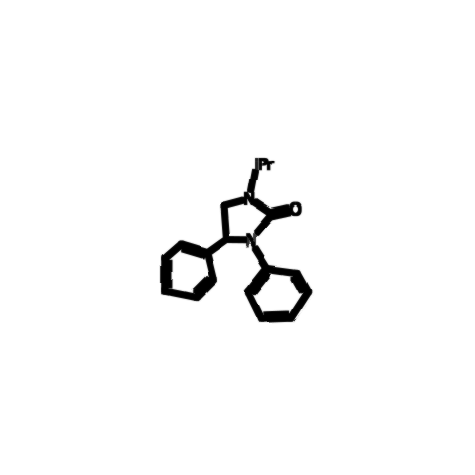 CC(C)N1CC(c2ccccc2)N(c2ccccc2)C1=O